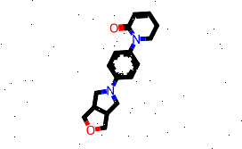 O=C1C=CCCN1c1ccc(N2CC3COCC3C2)cc1